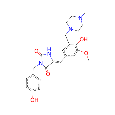 COc1cc(/C=C2\NC(=O)N(Cc3ccc(O)cc3)C2=O)cc(CN2CCN(C)CC2)c1O